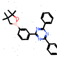 CC1(C)CB(c2cccc(-c3nc(-c4ccccc4)nc(-c4ccccc4)n3)c2)OC1(C)C